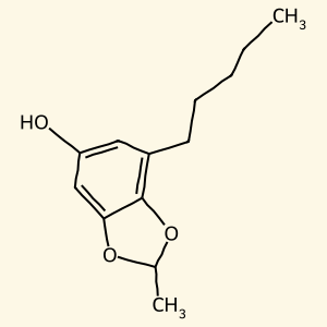 CCCCCc1cc(O)cc2c1OC(C)O2